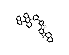 c1cc(-c2ccc3oc4c(ccc5sc6c7ccccc7ccc6c54)c3c2)cc(-c2c3ccccc3c(-c3cccc4ccccc34)c3ccccc23)c1